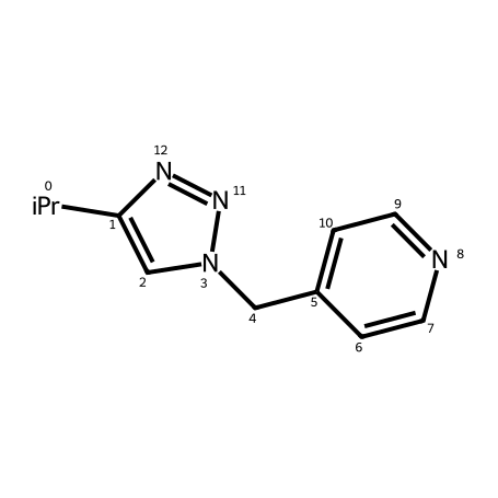 CC(C)c1cn(Cc2ccncc2)nn1